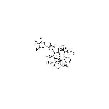 CC(C)Cc1ccccc1[C@@H]([SH]1C[C@H](O)[C@H](n2cc(-c3cc(F)c(F)c(F)c3)nn2)[C@@H](O)[C@H]1CO)C(C)(C)O